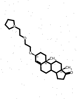 C[C@]12CC[C@H](OCCOCCN3CCCC3)C=C1CCC1C2CC[C@]2(C)C(=O)CCC12